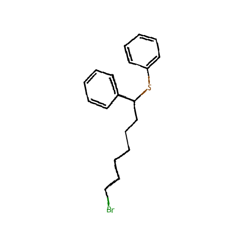 BrCCCCCCC(Sc1ccccc1)c1ccccc1